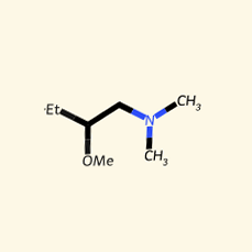 C[CH]C(CN(C)C)OC